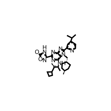 CC(C)c1ccnc(-c2nc3nc(-c4noc(=O)[nH]4)nc(NC(C)[C@H](C)C4CCC4)c3n2C[C@H]2CC[C@H](C)CC2)c1